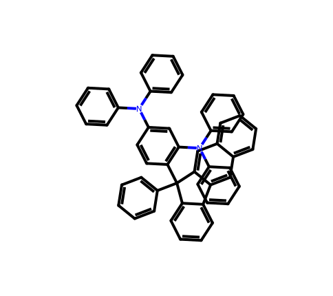 c1ccc(N(c2ccccc2)c2ccc(C3(c4ccccc4)c4ccccc4-c4cc5ccccc5cc43)c(N(c3ccccc3)c3ccccc3)c2)cc1